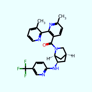 Cc1ccc(C(=O)N2C[C@H]3C[C@@H](Nc4ccc(C(F)(F)F)cn4)[C@@H]2C3)c(-c2ncccc2C)n1